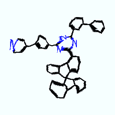 c1ccc(-c2cccc(-c3nc(-c4ccc(-c5ccncc5)cc4)nc(-c4cccc5c4-c4ccccc4C54c5ccccc5-c5ccccc54)n3)c2)cc1